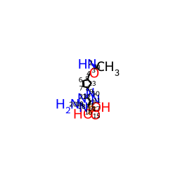 CC(=N)OCC1C=CC(n2cnc3c(P(=O)(O)O)nc(N)nc32)C1